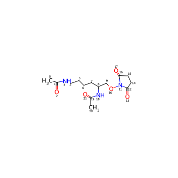 CC(=O)NCCCCC(CON1C(=O)CCC1=O)NC(C)=O